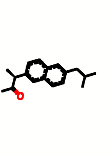 CC(=O)[C@@H](C)c1ccc2cc(CC(C)C)ccc2c1